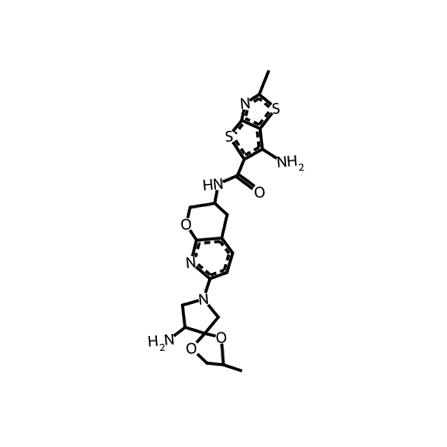 Cc1nc2sc(C(=O)NC3COc4nc(N5CC(N)C6(C5)OCC(C)O6)ccc4C3)c(N)c2s1